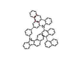 c1ccc(-c2cc(-c3cccc(-n4c5ccccc5c5ccc6ccccc6c54)c3)cc(N(c3ccccc3-c3ccccc3)c3ccc(-c4cccc5ccccc45)c4ccccc34)c2)cc1